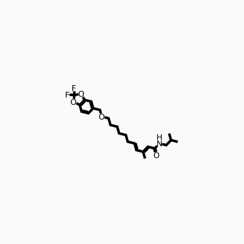 CC(C=CCCCCCCOCc1ccc2c(c1)OC(F)(F)O2)=CC(=O)NCC(C)C